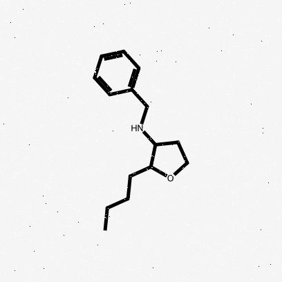 CCCC[C]1OCCC1NCc1ccccc1